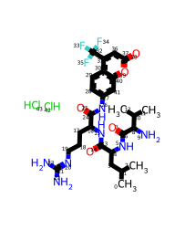 CC(C)CC(NC(=O)C(N)C(C)C)C(=O)NC(CCCN=C(N)N)C(=O)Nc1ccc2c(C(F)(F)F)cc(=O)oc2c1.Cl.Cl